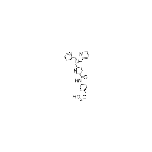 O=C(O)Cc1ccc(NC(=O)c2ccc(CN(Cc3ccccn3)Cc3ccccn3)nc2)cc1